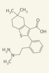 CN(N)CCc1ccccc1-c1sc2c(c1C(=O)O)CC(C)(C)CC2